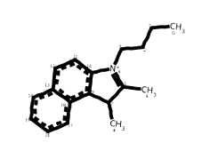 CCCC[N+]1=C(C)C(C)c2c1ccc1ccccc21